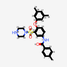 Cc1ccc(C(=O)Nc2ccc(Oc3cc(C)cc(C)c3)c(S(=O)(=O)N3CCNCC3)c2)cc1